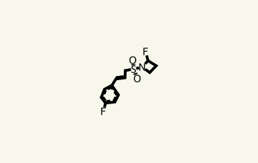 O=S(=O)(CC=Cc1ccc(F)cc1)N1CCC1F